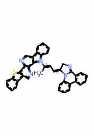 C/C(=C\C=C1/CN=C2c3ccccc3-c3ccccc3N21)n1c2ccccc2c2cnc3c(ncc4c5ccccc5sc43)c21